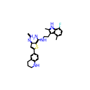 C=C/N=C1/C=C(c2ccc3c(c2)CCCN3)S/C1=C(/N)NCCc1c(C)[nH]c2c(F)ccc(C)c12